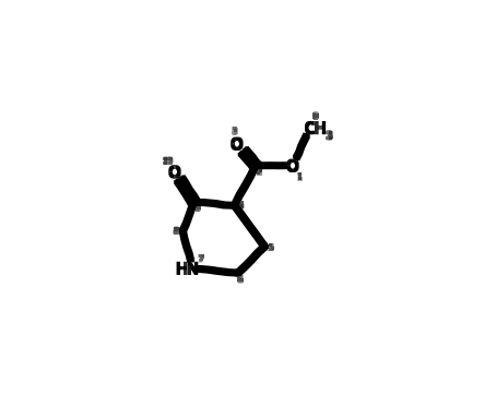 COC(=O)C1CCNCC1=O